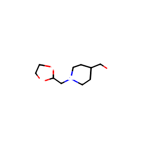 [O]CC1CCN(CC2OCCO2)CC1